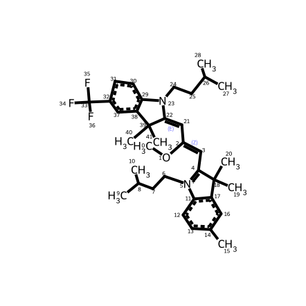 COC(=C\C1=[N+](CCC(C)C)c2ccc(C)cc2C1(C)C)/C=C1/N(CCC(C)C)c2ccc(C(F)(F)F)cc2C1(C)C